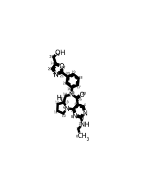 CCNc1ncc2c(n1)N1CCC[C@H]1CN(c1cccc(-c3ncc(CO)o3)c1)C2=O